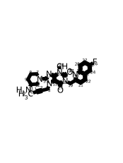 CC#CCn1c(N2CCCC(N)C2)nc2c1c(=O)n(Cc1ccc3cc(F)ccc3n1)c(=O)n2C